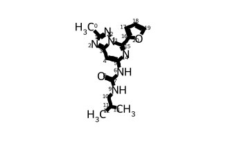 Cc1nc2cc(NC(=O)NCC(C)C)nc(-c3ccco3)n2n1